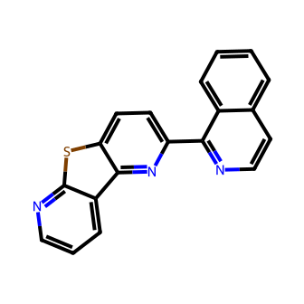 c1ccc2c(-c3ccc4sc5ncccc5c4n3)nccc2c1